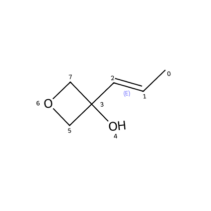 C/C=C/C1(O)COC1